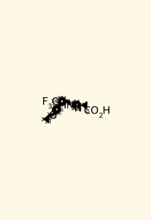 O=C(O)[C@H]1C[C@@H]1c1ccc(NCc2ccc(C(F)(F)F)c(-c3ccc(OCC4CC4)cc3)c2)cn1